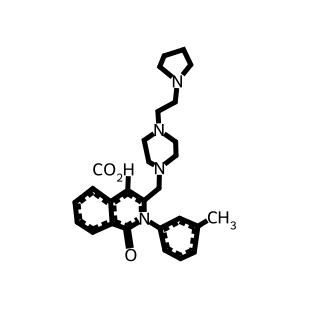 Cc1cccc(-n2c(CN3CCN(CCN4CCCC4)CC3)c(C(=O)O)c3ccccc3c2=O)c1